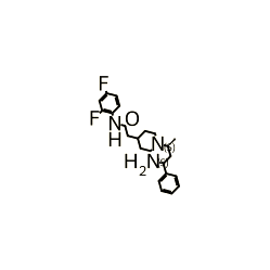 C[C@@H](C[C@H](N)c1ccccc1)N1CCC(CC(=O)Nc2ccc(F)cc2F)CC1